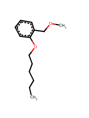 CCCCCCOc1ccccc1COC